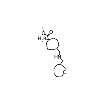 BC1(C(=O)OC)CCCC(CNCC2CCCCCCC2)CCC1